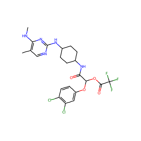 CNc1nc(NC2CCC(NC(=O)C(OC(=O)C(F)(F)F)Oc3ccc(Cl)c(Cl)c3)CC2)ncc1C